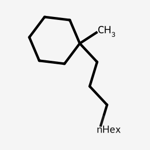 CCCCCCCCCC1(C)CCCCC1